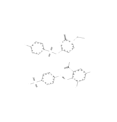 CCn1ccc(NS(=O)(=O)c2ccc(N)cc2)nc1=O.Nc1cc(N)c(/N=N/c2ccc(S(N)(=O)=O)cc2)c(C(=O)O)c1